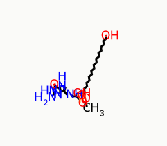 CCOP(=O)(C[C@H](O)CNCc1c[nH]c2c(=O)[nH]c(N)nc12)OCCCCCCCCCCCCCCCCCCCO